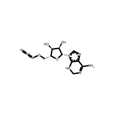 [N-]=[N+]=NOC[C@H]1O[C@@H](n2cnc3c2NCN=C3N)[C@H](O)[C@@H]1O